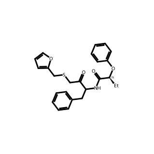 CC[C@H](Oc1ccccc1)C(=O)NC(Cc1ccccc1)C(=O)CSCc1ccco1